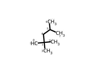 [CH]C(C)(C)CC(C)C